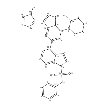 C[C@@H]1COCCN1c1nc(-c2ccnc3c2ccn3S(=O)(=O)Cc2ccccc2)nc2c(-c3ccnn3C)csc12